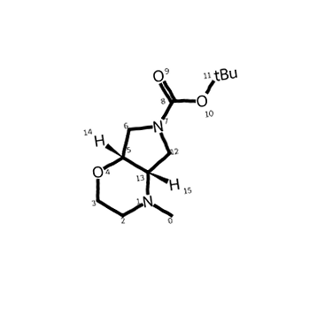 CN1CCO[C@@H]2CN(C(=O)OC(C)(C)C)C[C@@H]21